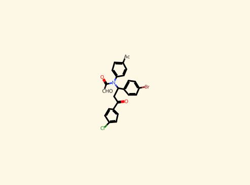 CC(=O)c1ccc(N(C(=O)C=O)C(CC(=O)c2ccc(Cl)cc2)c2ccc(Br)cc2)cc1